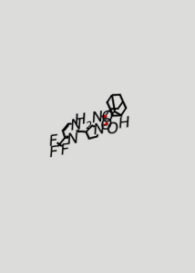 NC(=O)[C@]12CC3CC(C1)C(OC(=O)N1CCC(c4nccc(C(F)(F)F)n4)C1)[C@@H](C3)C2